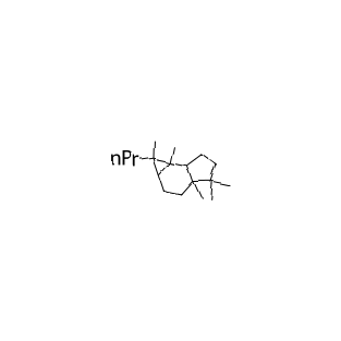 CCCC1(C)C2CCC3(C)C(CCC3(C)C)C21C